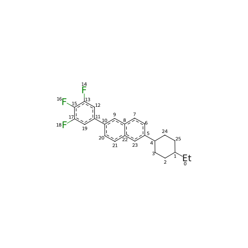 CCC1CCC(c2ccc3cc(-c4cc(F)c(F)c(F)c4)ccc3c2)CC1